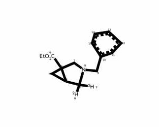 [2H]C1([2H])C2CC2(C(=O)OCC)CN1Cc1ccccc1